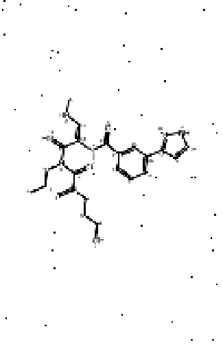 C=C(CCCO)C(=O)N(CCC)C(=N)/C(=C\NC)NC(=O)c1cccc(-c2cc[nH]n2)c1